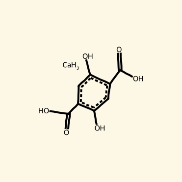 O=C(O)c1cc(O)c(C(=O)O)cc1O.[CaH2]